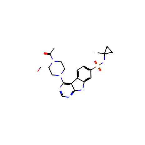 CC(C)C(=O)N1CCN(c2ncnc3[nH]c4cc(S(=O)(=O)NC5(C#N)CC5)ccc4c23)C[C@@H]1CO